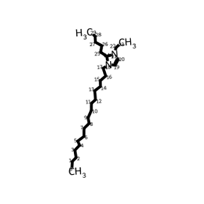 CCCCCCCCCCCCCCCCCCN1C=CN(CC)C1CCCCC